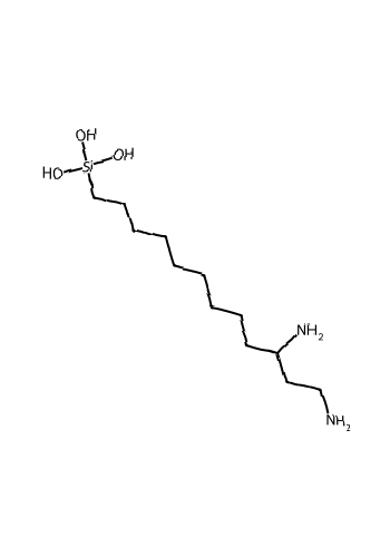 NCCC(N)CCCCCCCCC[Si](O)(O)O